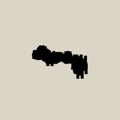 CN(CCNCC(O)c1ccc(O)c2[nH]c(=O)ccc12)C(=O)CCc1cccc(CN2C[C@H]3C[C@H](OC(=O)Nc4ccccc4-c4ccccc4)C[C@H]3C2)c1